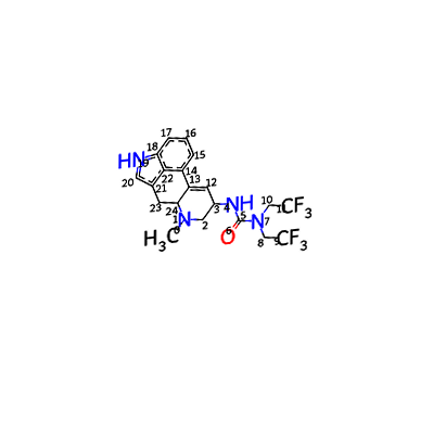 CN1CC(NC(=O)N(CC(F)(F)F)CC(F)(F)F)C=C2c3cccc4[nH]cc(c34)CC21